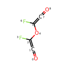 O=C=C(F)OC(F)=C=O